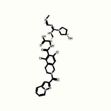 C/N=C\N=C(/NC[C@H](NC(=O)c1c(Cl)cc2c(c1Cl)CCN(C(=O)c1cc3ccccn3n1)C2)C(=O)O)N1CC[C@H](O)C1